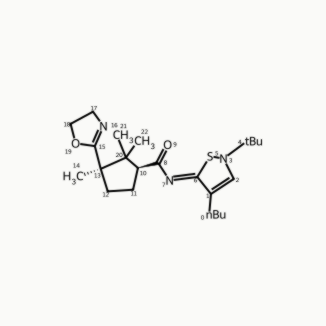 CCCCc1cn(C(C)(C)C)sc1=NC(=O)[C@H]1CC[C@@](C)(C2=NCCO2)C1(C)C